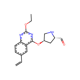 C=Cc1ccc2nc(OCC)nc(O[C@H]3CN[C@H](C=O)C3)c2c1